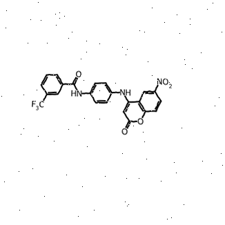 O=C(Nc1ccc(Nc2cc(=O)oc3ccc([N+](=O)[O-])cc23)cc1)c1cccc(C(F)(F)F)c1